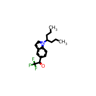 CCCC(CCC)n1ccc2cc(C(=O)C(F)(F)F)ccc21